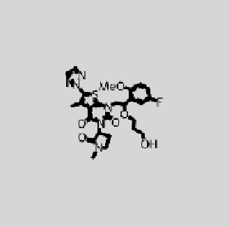 COc1ccc(F)cc1C(Cn1c(=O)n(C2CCN(C)C2=O)c(=O)c2c(C)c(-n3nccn3)sc21)OCCCO